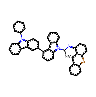 CNC(/N=c1/cccc2sc3ccccc3cc1-2)n1c2ccccc2c2c(-c3ccc4c(c3)c3ccccc3n4-c3ccccc3)cccc21